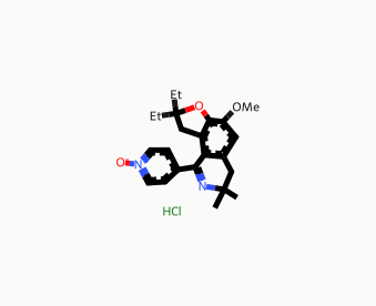 CCC1(CC)Cc2c(c(OC)cc3c2C(c2cc[n+]([O-])cc2)=NC(C)(C)C3)O1.Cl